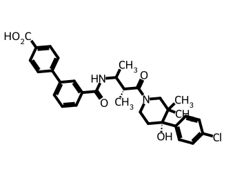 CC(NC(=O)c1cccc(-c2ccc(C(=O)O)cc2)c1)[C@@H](C)C(=O)N1CC[C@](O)(c2ccc(Cl)cc2)C(C)(C)C1